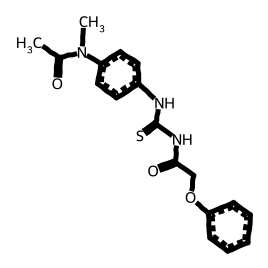 CC(=O)N(C)c1ccc(NC(=S)NC(=O)COc2ccccc2)cc1